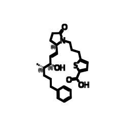 C[C@@H](CCCc1ccccc1)[C@@H](O)C=C[C@H]1CCC(=O)N1CCCc1ccc(C(=O)O)s1